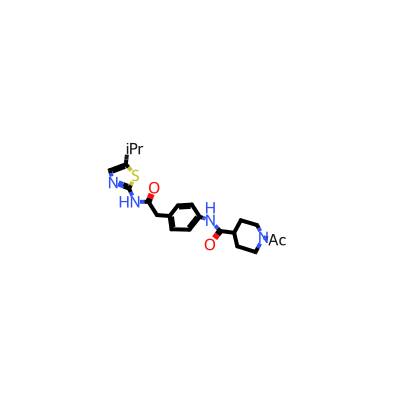 CC(=O)N1CCC(C(=O)Nc2ccc(CC(=O)Nc3ncc(C(C)C)s3)cc2)CC1